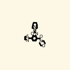 O=C(c1ccc(-c2nccs2)c2oc(N3CC4CCC(C3)N4)nc12)N1CCOCC1